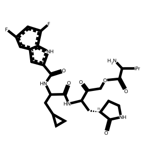 CC(C)C(N)C(=O)OCC(=O)C(C[C@@H]1CCNC1=O)NC(=O)C(CC1CC1)NC(=O)c1cc2cc(F)cc(F)c2[nH]1